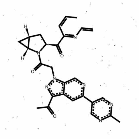 C=C/N=C(\C=C/C)C(=O)[C@@H]1C[C@H]2C[C@H]2N1C(=O)Cn1nc(C(C)=O)c2cc(-c3cnc(C)nc3)ncc21